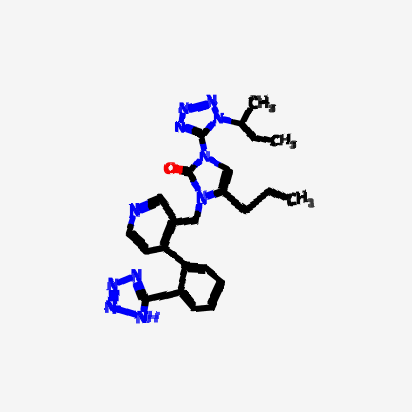 CCCc1cn(-c2nnnn2C(C)CC)c(=O)n1Cc1cnccc1-c1ccccc1-c1nnn[nH]1